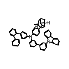 C[C@H]1CC2C[C@H]3C(C1)C(c1ccc(N(c4ccc(-c5ccccc5-c5ccccc5)cc4)c4cccc(-c5cccc(-n6c7ccccc7c7ccccc76)c5)c4)cc1)C23